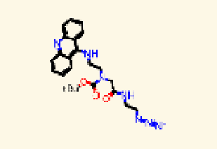 CC(C)(C)OC(=O)N(CCNc1c2ccccc2nc2ccccc12)CC(=O)NCCN=[N+]=[N-]